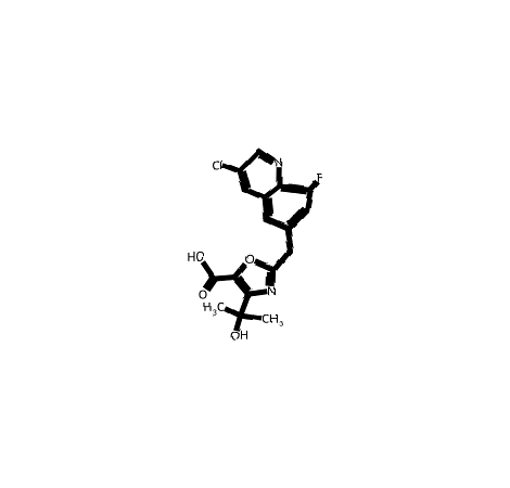 CC(C)(O)c1nc(Cc2cc(F)c3ncc(Cl)cc3c2)oc1C(=O)O